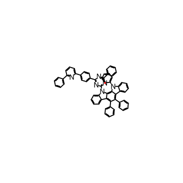 c1ccc(-c2cccc(-c3ccc(-c4nc(-c5ccccc5)nc(-n5c6ccccc6c6c(-c7ccccc7)c(-c7ccccc7)c7c8ccccc8n(-c8ccccc8)c7c65)n4)cc3)n2)cc1